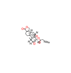 CNCC(=O)O[C@@H]1[C@@]2(C(C)C)O[C@H]2[C@@H]2C[C@]23[C@]12O[C@H]2C[C@H]1C2=C(CC[C@@]13C)C(=O)OC2